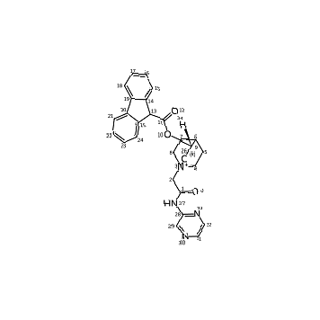 O=C(C[N+]12CCC(CC1)[C@@H](OC(=O)C1c3ccccc3-c3ccccc31)C2)Nc1cnccn1